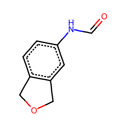 O=CNc1ccc2c(c1)COC2